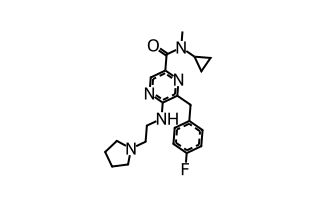 CN(C(=O)c1cnc(NCCN2CCCC2)c(Cc2ccc(F)cc2)n1)C1CC1